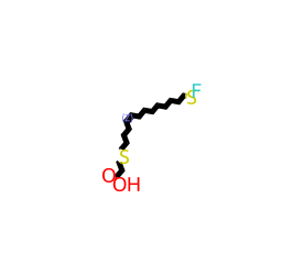 O=C(O)CCSCCCC/C=C\CCCCCCCCSF